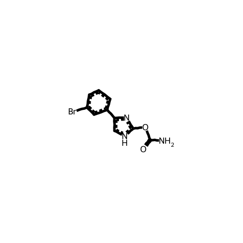 NC(=O)Oc1nc(-c2cccc(Br)c2)c[nH]1